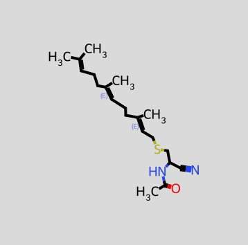 CC(=O)NC(C#N)CSC/C=C(\C)CC/C=C(\C)CCC=C(C)C